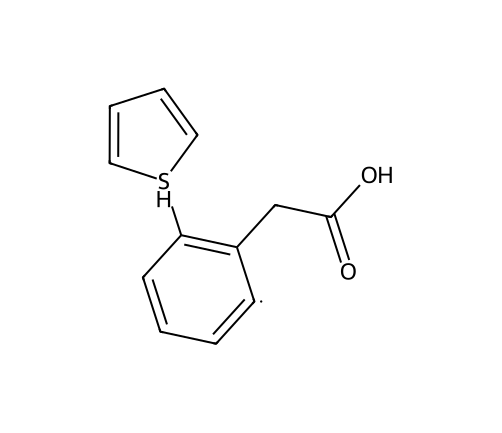 O=C(O)Cc1[c]cccc1[SH]1C=CC=C1